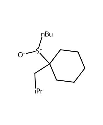 CCCC[S+]([O-])C1(CC(C)C)CCCCC1